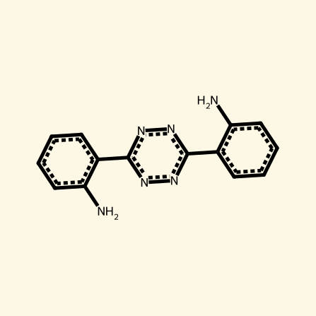 Nc1ccccc1-c1nnc(-c2ccccc2N)nn1